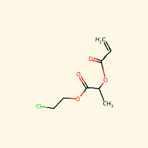 C=CC(=O)OC(C)C(=O)OCCCl